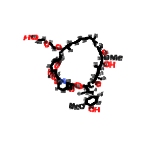 CO[C@@H]1C[C@H](C[C@@H](C)[C@@H]2CC(=O)[C@H](C)/C=C(\C)[C@@H](O)[C@@H](OC)C(=O)[C@H](C)C[C@H](C)/C=C/C=C/C=C(\C)[C@@H](OCCOCCO)C[C@@H]3CC[C@@H](C)[C@@](O)(O3)C(=O)C(=O)N3CCCC[C@H]3C(=O)O2)CC[C@H]1O